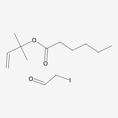 C=CC(C)(C)OC(=O)CCCCC.O=CCI